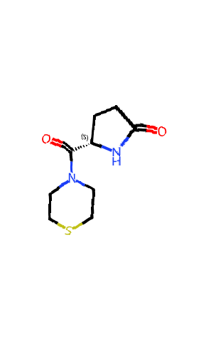 O=C1CC[C@@H](C(=O)N2CCSCC2)N1